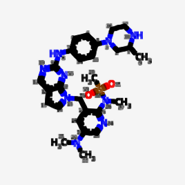 CC1CN(c2ccc(Nc3ncc4ccn(Cc5cc(N(C)C)cnc5N(C)S(C)(=O)=O)c4n3)cc2)CCN1